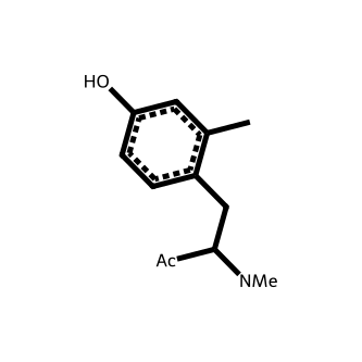 CNC(Cc1ccc(O)cc1C)C(C)=O